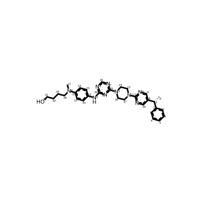 C[C@H](c1ccccc1)c1cnc(N2CCN(c3ncnc(Nc4ccc(N(C)CCCCO)cc4)n3)CC2)nc1